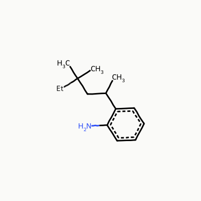 CCC(C)(C)CC(C)c1ccccc1N